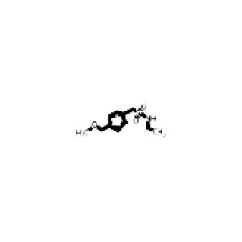 CCNS(=O)(=O)Cc1ccc(COC)cc1